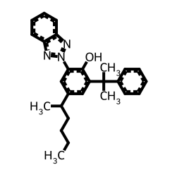 CCCCC(C)c1cc(-n2nc3ccccc3n2)c(O)c(C(C)(C)c2ccccc2)c1